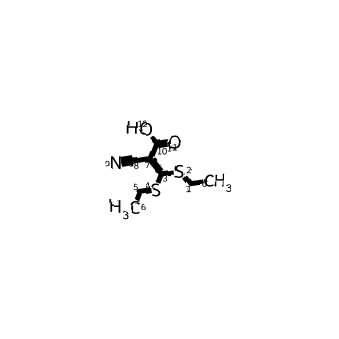 CCSC(SCC)=C(C#N)C(=O)O